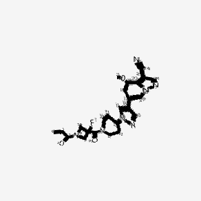 C=CC(=O)N1CC(F)(C(=O)N2CCC(n3cc(-c4cc(OC)c5c(C#N)cnn5c4)cn3)CC2)C1